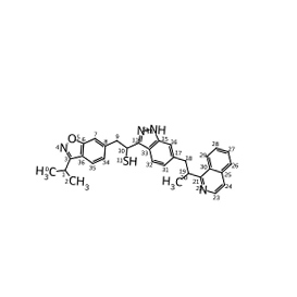 CC(C)c1noc2cc(CC(S)c3n[nH]c4cc(CC(C)c5nccc6ccccc56)ccc34)ccc12